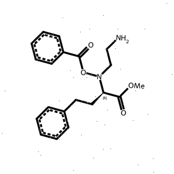 COC(=O)[C@@H](CCc1ccccc1)N(CCN)OC(=O)c1ccccc1